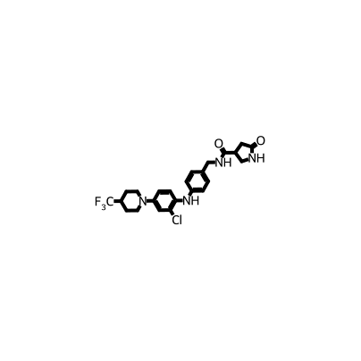 O=C1CC(C(=O)NCc2ccc(Nc3ccc(N4CCC(C(F)(F)F)CC4)cc3Cl)cc2)CN1